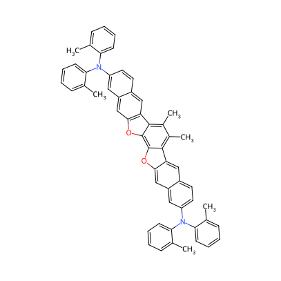 Cc1ccccc1N(c1ccc2cc3c(cc2c1)oc1c2oc4cc5cc(N(c6ccccc6C)c6ccccc6C)ccc5cc4c2c(C)c(C)c31)c1ccccc1C